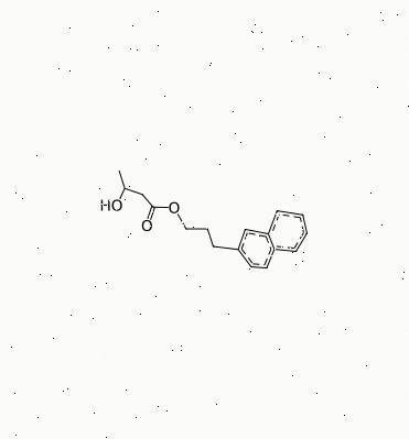 CC(O)CC(=O)OCCCc1ccc2ccccc2c1